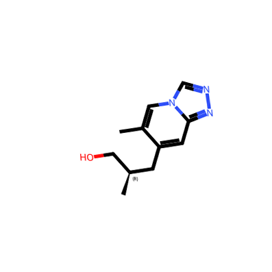 Cc1cn2cnnc2cc1C[C@@H](C)CO